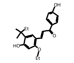 CCOc1cc(O)c(C(C)(C)CC)cc1C=CC(=O)c1ccc(O)cc1